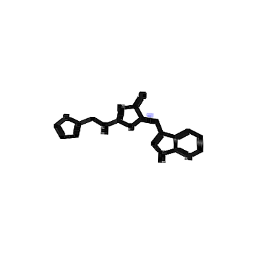 O=C1N=C(NCc2cccs2)S/C1=C\c1c[nH]c2ncccc12